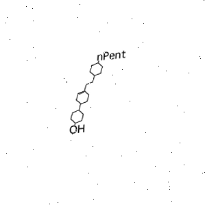 CCCCCC1CCC(CCC2=CCC(C3CCC(O)CC3)CC2)CC1